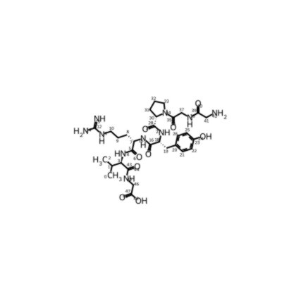 CC(C)[C@@H](NC(=O)[C@H](CCCNC(=N)N)NC(=O)[C@@H](Cc1ccc(O)cc1)NC(=O)[C@@H]1CCCN1C(=O)CNC(=O)CN)C(=O)NCC(=O)O